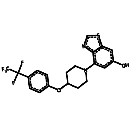 Oc1cc(N2CCC(Oc3ccc(C(F)(F)C(F)(F)F)cc3)CC2)c2ncsc2c1